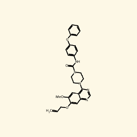 C=CCOc1cc2ncnc(N3CCN(C(=O)Nc4ccc(Oc5ccccc5)cc4)CC3)c2cc1OC